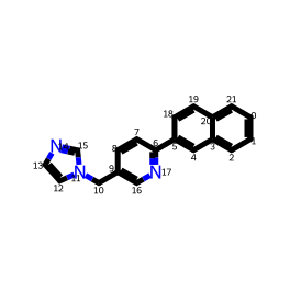 c1ccc2cc(-c3ccc(Cn4ccnc4)cn3)ccc2c1